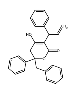 C=CC(C1=C(O)CC(Cc2ccccc2)(c2ccccc2)OC1=O)c1ccccc1